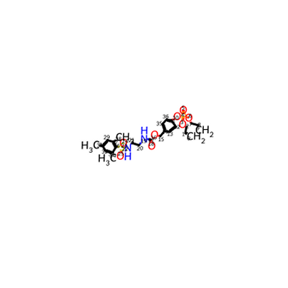 C=CCOP(=O)(OCC=C)Oc1ccc(COC(=O)NCCNS(=O)(=O)c2c(C)cc(C)cc2C)cc1